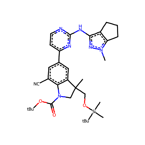 Cn1nc(Nc2nccc(-c3cc(C#N)c4c(c3)C(C)(CO[Si](C)(C)C(C)(C)C)CN4C(=O)OC(C)(C)C)n2)c2c1CCC2